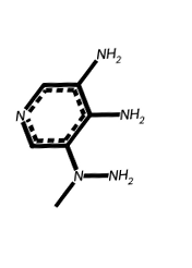 CN(N)c1cncc(N)c1N